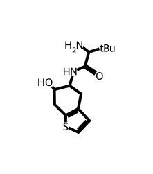 CC(C)(C)C(N)C(=O)NC1Cc2ccsc2CC1O